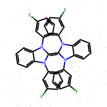 Fc1cccc(N2C(=C3N(c4cccc(F)c4)c4ccccc4N3c3cccc(F)c3)N(c3cccc(F)c3)c3ccccc32)c1